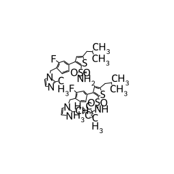 Cc1nccn1Cc1ccc(-c2cc(CC(C)C)sc2S(=O)(=O)NC(C)(C)C)cc1F.Cc1nccn1Cc1ccc(-c2cc(CC(C)C)sc2S(N)(=O)=O)cc1F